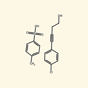 Cc1ccc(S(=O)(=O)O)cc1.OCCC#Cc1ccc(Cl)cc1